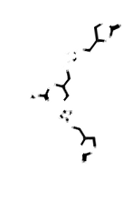 COC(=O)OC(COS(=O)(=O)OCC1COC(=O)O1)COS(=O)(=O)OCC1COC(=O)O1